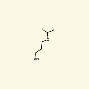 [CH2]CCCCCOC(F)F